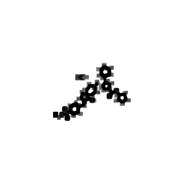 CS(=O)(=O)c1ccc(CN2CCC3(CCN(C[C@H]4CN(C(=O)OC5CCCC5)C[C@@H]4c4ccccc4)CC3)C2=O)cc1.Cl